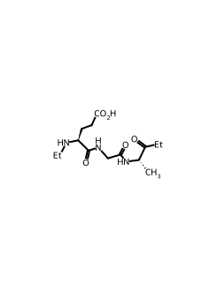 CCN[C@@H](CCC(=O)O)C(=O)NCC(=O)N[C@@H](C)C(=O)CC